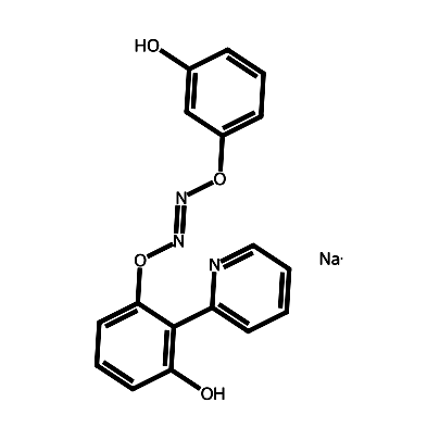 Oc1cccc(ON=NOc2cccc(O)c2-c2ccccn2)c1.[Na]